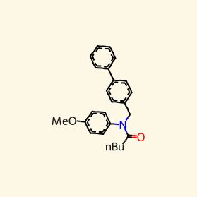 CCCCC(=O)N(Cc1ccc(-c2ccccc2)cc1)c1ccc(OC)cc1